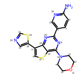 Nc1ccc(-c2nc(N3CCOCC3)c3scc(-c4cncs4)c3n2)cn1